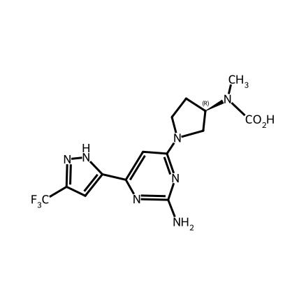 CN(C(=O)O)[C@@H]1CCN(c2cc(-c3cc(C(F)(F)F)n[nH]3)nc(N)n2)C1